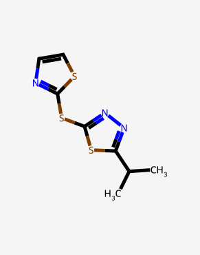 CC(C)c1nnc(Sc2nccs2)s1